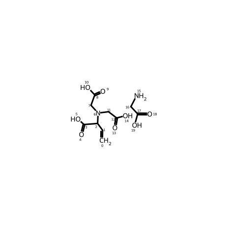 C=CC(C(=O)O)N(CC(=O)O)CC(=O)O.NCC(=O)O